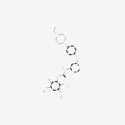 CCN1CCN(c2ccc(Nc3cc(N(C)C(=O)Nc4c(Cl)c(OC)cc(OC)c4OC)ncn3)cc2)CC1